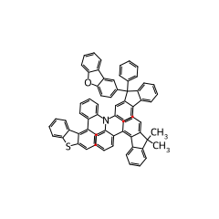 CC1(C)c2ccccc2-c2c(-c3ccccc3N(c3ccc4c(c3)C(c3ccccc3)(c3ccc5oc6ccccc6c5c3)c3ccccc3-4)c3ccccc3-c3cccc4sc5ccccc5c34)cccc21